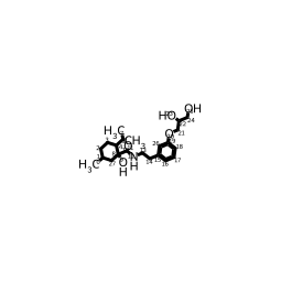 CC1CCC(C(C)C)C(O)(C(=O)NCCc2cccc(OCC(O)CO)c2)C1